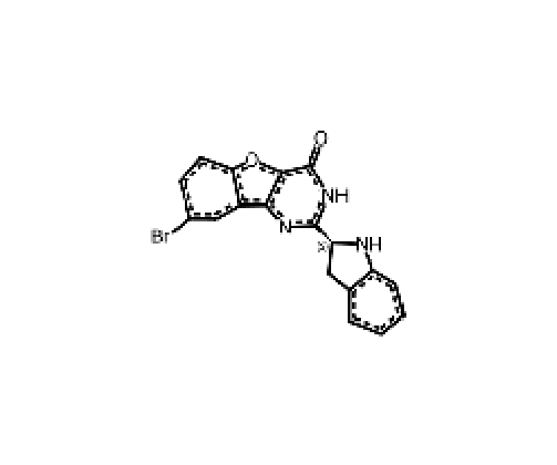 O=c1[nH]c([C@@H]2Cc3ccccc3N2)nc2c1oc1ccc(Br)cc12